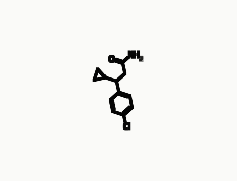 NC(=O)CC(c1ccc(Cl)cc1)C1CC1